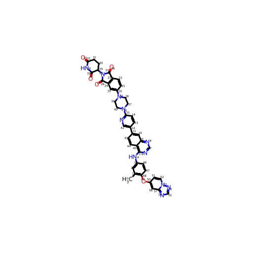 Cc1cc(Nc2ncnc3cc(-c4ccc(N5CCN(c6ccc7c(c6)C(=O)N(C6CCC(=O)NC6=O)C7=O)CC5)nc4)ccc23)ccc1Oc1ccn2ncnc2c1